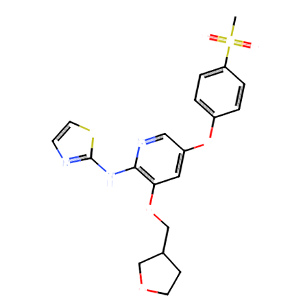 CS(=O)(=O)c1ccc(Oc2cnc(Nc3nccs3)c(OCC3CCOC3)c2)cc1